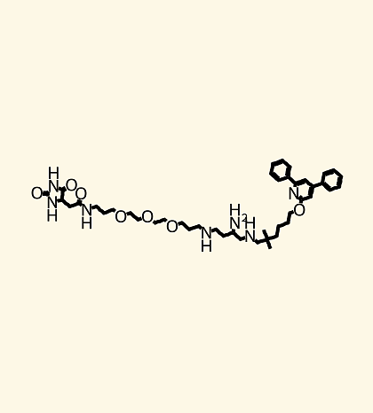 CC(C)(CCCCOc1cc(-c2ccccc2)cc(-c2ccccc2)n1)CNCC(N)CCNCCCOCCOCCOCCCNC(=O)CC1NC(=O)NC1=O